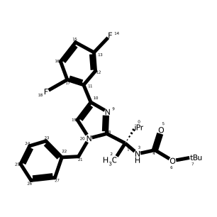 CC(C)[C@@](C)(NC(=O)OC(C)(C)C)c1nc(-c2cc(F)ccc2F)cn1Cc1ccccc1